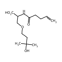 C=CCCC(=O)NC(COCCC(C)(C)O)C(=O)O